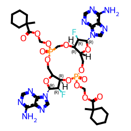 CC1(C(=O)OCOP2(=O)CO[C@H]3[C@@H](F)[C@H](n4cnc5c(N)ncnc54)O[C@@H]3COP(=O)(OCOC(=O)C3(C)CCCCC3)O[C@@H]3C(CO2)O[C@@H](n2cnc4c(N)ncnc42)[C@@H]3F)CCCCC1